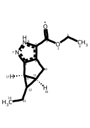 CCOC(=O)c1[nH]nc2c1C[C@H]1C(CC)[C@@H]21